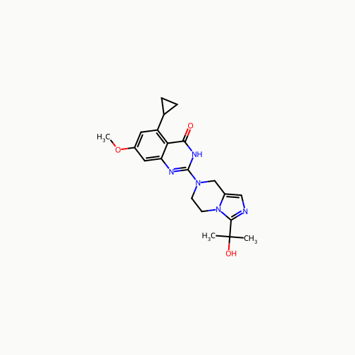 COc1cc(C2CC2)c2c(=O)[nH]c(N3CCn4c(cnc4C(C)(C)O)C3)nc2c1